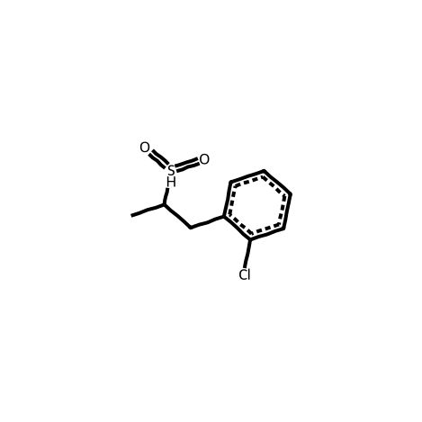 CC(Cc1ccccc1Cl)[SH](=O)=O